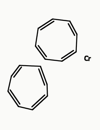 C1=C\C=C/C=C\C=C/1.C1=C\C=C/C=C\C=C/1.[Cr]